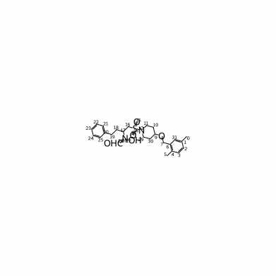 Cc1ccc(C)c(COC2CCN(S(=O)(=O)CC(CCc3ccccc3)N(O)C=O)CC2)c1